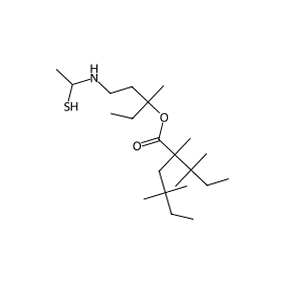 CCC(C)(C)CC(C)(C(=O)OC(C)(CC)CCNC(C)S)C(C)(C)CC